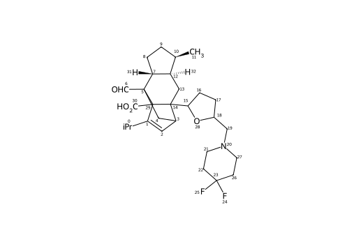 CC(C)C1=CC2CC3(C=O)[C@@H]4CC[C@@H](C)[C@H]4CC2(C2CCC(CN4CCC(F)(F)CC4)O2)C13C(=O)O